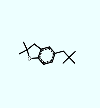 CC(C)(C)Cc1ccc2c(c1)CC(C)(C)O2